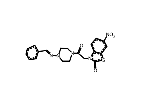 O=C(Cn1c(=O)sc2cc([N+](=O)[O-])ccc21)N1CCN(N=Cc2ccccc2)CC1